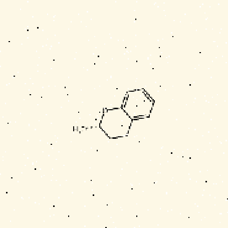 C[C@H]1CCc2ccccc2O1